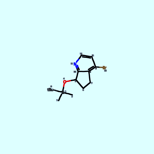 CC(C)(C)[Si](C)(C)OC1CCc2c(Br)ccnc21